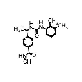 Cc1cccc(NC(=O)NC(C)c2ccc(C(=O)NO)cc2)c1C